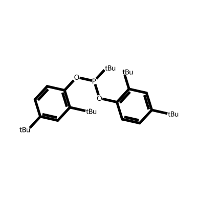 CC(C)(C)c1ccc(OP(Oc2ccc(C(C)(C)C)cc2C(C)(C)C)C(C)(C)C)c(C(C)(C)C)c1